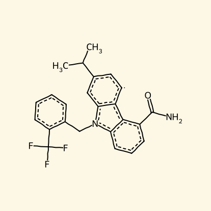 CC(C)c1c[c]c2c3c(C(N)=O)cccc3n(Cc3ccccc3C(F)(F)F)c2c1